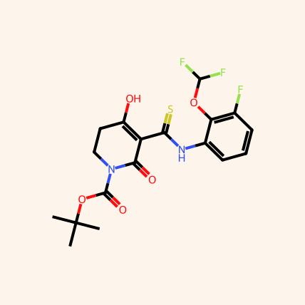 CC(C)(C)OC(=O)N1CCC(O)=C(C(=S)Nc2cccc(F)c2OC(F)F)C1=O